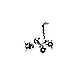 C#C[C@]1(COP(=O)(N[C@@H](Cc2cc(F)cc(F)c2)C(=O)OCCCCCCCCCCCCCCCCCC)Oc2ccccc2)O[C@@H](n2cnc3c(N)nc(F)nc32)C[C@@H]1O